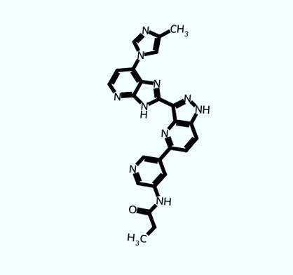 CCC(=O)Nc1cncc(-c2ccc3[nH]nc(-c4nc5c(-n6cnc(C)c6)ccnc5[nH]4)c3n2)c1